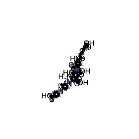 Cc1cc(/N=N/c2cc(S(=O)(=O)O)c3cc(S(=O)(=O)O)c(/N=N/c4ccc(NC(=O)CCOCCC(=O)O)cc4[N+](=O)[O-])c(O)c3c2N)ccc1/N=N/c1ccc(C(=O)O)cc1